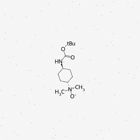 CC(C)(C)OC(=O)N[C@H]1CC[C@H]([N+](C)(C)[O-])CC1